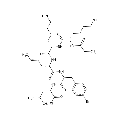 C/C=C/C[C@H](NC(=O)[C@H](CCCCN)NC(=O)[C@H](CCCCN)NC(=O)CC)C(=O)N[C@@H](Cc1ccc(Br)cc1)C(=O)N[C@@H](CC(C)C)C(=O)O